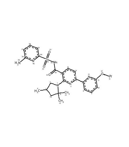 CC1CN(c2nc(-c3cccc(OC(C)C)n3)ccc2C(=O)NS(=O)(=O)c2cccc(N)n2)C(C)(C)C1